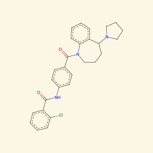 O=C(Nc1ccc(C(=O)N2CCCC(N3CCCC3)c3ccccc32)cc1)c1ccccc1Cl